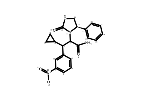 NC(=O)C(C(c1cccc([N+](=O)[O-])c1)C1CC1)N1C(=O)OC[C@H]1c1ccccc1